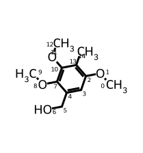 COc1cc(CO)c(OC)c(OC)c1C